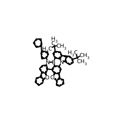 CC(C)(C)c1ccc2c(c1)c1cc(C(C)(C)C)cc3c1n2-c1cc2c(oc4ccccc42)c2c1B3N(c1ccc(-c3ccccc3)cc1)c1ccc3c(oc4ccccc43)c1-2